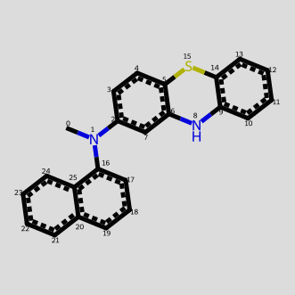 CN(c1ccc2c(c1)Nc1ccccc1S2)c1cccc2ccccc12